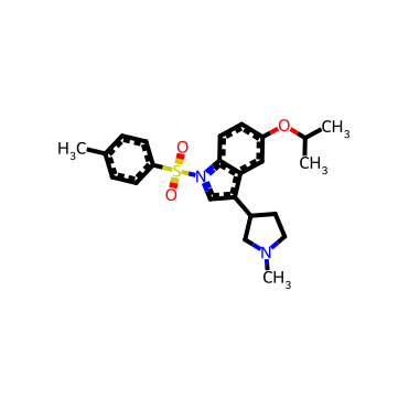 Cc1ccc(S(=O)(=O)n2cc(C3CCN(C)C3)c3cc(OC(C)C)ccc32)cc1